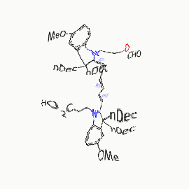 CCCCCCCCCCC1(CCCCCCCCCC)C(/C=C/C=C/C=C2/N(CCOC=O)c3ccc(OC)cc3C2(CCCCCCCCCC)CCCCCCCCCC)=[N+](CCC(=O)O)c2ccc(OC)cc21